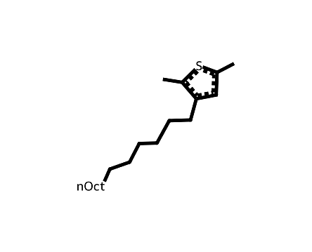 CCCCCCCCCCCCCCc1cc(C)sc1C